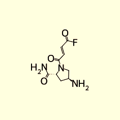 NC(=O)[C@H]1C[C@H](N)CN1C(=O)/C=C/C(=O)F